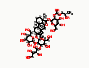 CC1CC23CCC4[C@](C)(C(=O)O[C@@H]5OC(CO)[C@@H](O)C(O)C5OC(O)OC[C@H](C)O)CCC[C@@]4(C)[C@@H]2CC[C@]1(O[C@@H]1OC(CO)[C@@H](O)C(OC(O)[C@H](O)C(O)CO)C1O[C@@H]1OC(CO)[C@@H](O)C(O)C1O)C3